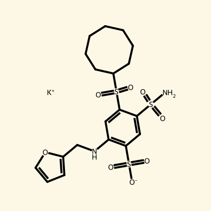 NS(=O)(=O)c1cc(S(=O)(=O)[O-])c(NCc2ccco2)cc1S(=O)(=O)C1CCCCCCC1.[K+]